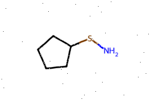 NSC1CCCC1